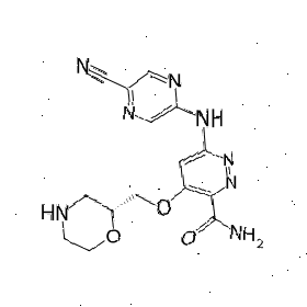 N#Cc1cnc(Nc2cc(OC[C@H]3CNCCO3)c(C(N)=O)nn2)cn1